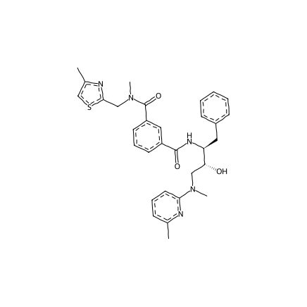 Cc1cccc(N(C)C[C@@H](O)[C@H](Cc2ccccc2)NC(=O)c2cccc(C(=O)N(C)Cc3nc(C)cs3)c2)n1